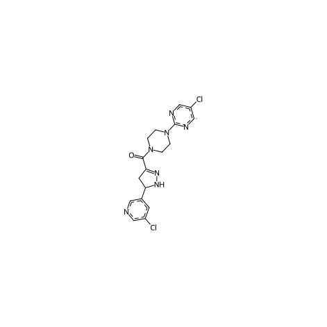 O=C(C1=NNC(c2cncc(Cl)c2)C1)N1CCN(c2n[c]c(Cl)cn2)CC1